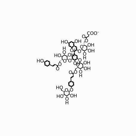 O=C([O-])CC(=O)OC[C@H]1O[C@@H](Oc2cc3c(O)cc(O)cc3[o+]c2-c2cc(O[C@@H]3O[C@H](COC(=O)/C=C/c4ccc(O)cc4)[C@@H](O)[C@H](O)[C@H]3O)c(O)c(O[C@@H]3O[C@H](COC(=O)/C=C/c4ccc(O[C@@H]5O[C@H](CO)[C@@H](O)[C@H](O)[C@H]5O)cc4)[C@@H](O)[C@H](O)[C@H]3O)c2)[C@H](O)[C@@H](O)[C@@H]1O